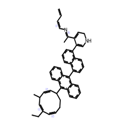 C=C/C=C\N=C(/C)C1=CCNC=C1c1cccc2c(-c3c4ccccc4c(C4/C=C\C(C)/C=C(CC)\C=C/CC4)c4ccccc34)cccc12